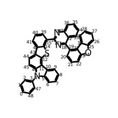 c1ccc(-n2c3ccccc3c3c4sc5c(-c6nc(-c7cccc8oc9ccccc9c78)c7ccccc7n6)cccc5c4ccc32)cc1